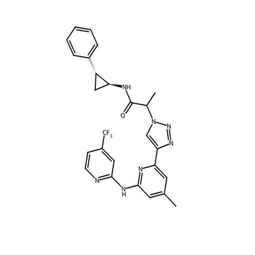 Cc1cc(Nc2cc(C(F)(F)F)ccn2)nc(-c2cn(C(C)C(=O)N[C@H]3C[C@@H]3c3ccccc3)nn2)c1